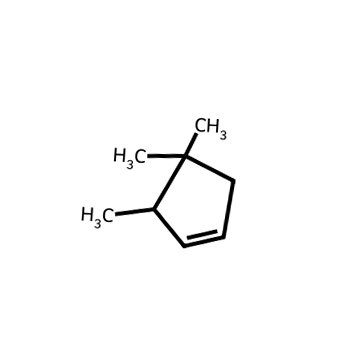 CC1C=CCC1(C)C